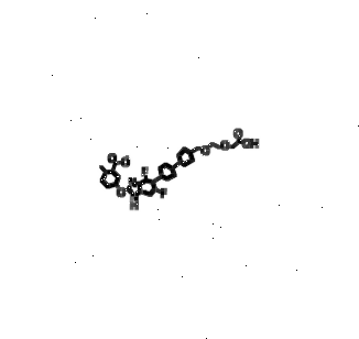 COC(=O)c1cc(Oc2nc3c(F)c(-c4ccc(-c5ccc(COCCOCC(=O)O)cc5)cc4)c(F)cc3[nH]2)ccc1C